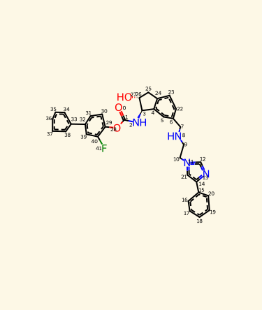 O=C(N[C@@H]1c2cc(CNCCn3cnc(-c4ccccc4)c3)ccc2C[C@H]1O)Oc1ccc(-c2ccccc2)cc1F